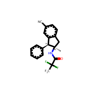 C[C@@]1(NC(=O)C(F)(F)C(F)(F)F)Cc2ccc(C#N)cc2[C@@H]1c1ccccc1